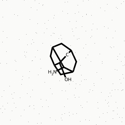 NC1C2CC3CC(O)C(C2)CC1C3